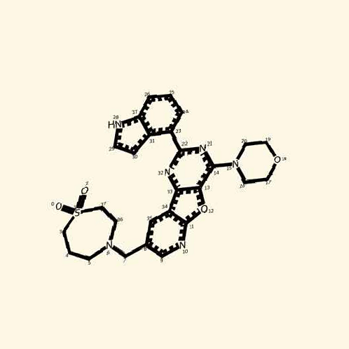 O=S1(=O)CCCN(Cc2cnc3oc4c(N5CCOCC5)nc(-c5cccc6[nH]ccc56)nc4c3c2)CC1